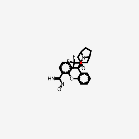 N=C(N=O)c1cccc2c1Oc1ccccc1C2=C1CC2CCC(C1)N2C(=O)C(F)(F)F